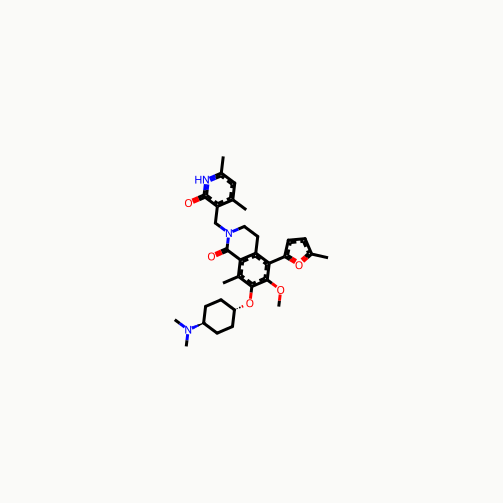 COc1c(O[C@H]2CC[C@H](N(C)C)CC2)c(C)c2c(c1-c1ccc(C)o1)CCN(Cc1c(C)cc(C)[nH]c1=O)C2=O